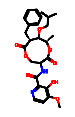 COc1ccnc(C(=O)N[C@H]2COC(=O)[C@H](Cc3ccccc3)[C@@H](OCC(C)C)[C@H](C)OC2=O)c1O